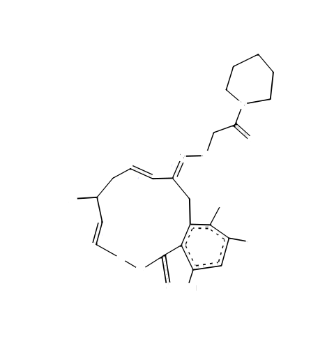 CC1/C=C/COC(=O)c2c(O)cc(O)c(Cl)c2CC(=N\OCC(=O)N2CCCCC2)/C=C/C1